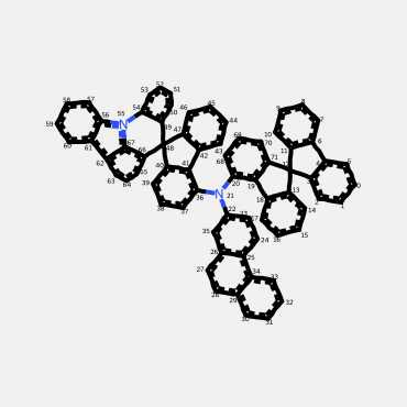 c1ccc2c(c1)-c1ccccc1C21c2ccccc2-c2c(N(c3ccc4c(ccc5ccccc54)c3)c3cccc4c3-c3ccccc3C43c4ccccc4-n4c5ccccc5c5cccc3c54)cccc21